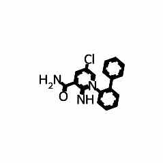 N=c1c(C(N)=O)cc(Cl)cn1-c1ccccc1-c1ccccc1